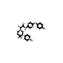 C[C@@H](C(=O)Nc1cnc(Oc2ccc(F)cc2)cn1)N1CCC(F)(F)[C@@H](c2cc[n+]([O-])cc2)C1